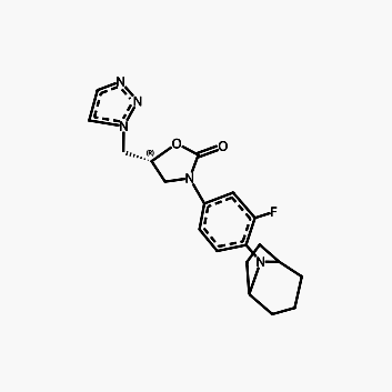 O=C1O[C@@H](Cn2ccnn2)CN1c1ccc(N2C3CCCC2CC3)c(F)c1